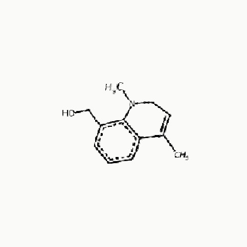 CC1=CCN(C)c2c(CO)cccc21